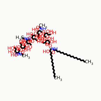 CCCCCCCCCCCCC/C=C/[C@@H](O)[C@H](CO[C@@H]1OC(CO)[C@@H](O[C@@H]2OC(CO)[C@H](O)[C@H](O[C@@H]3OC(CO)[C@@H](O[C@@H]4OC(CO)[C@H](O)[C@H](O[C@@H]5OC(CO)[C@@H](O[C@@H]6OC(CO)[C@H](O)[C@H](O[C@@H]7OC(CO)[C@@H](O)[C@H](O)C7NC(C)=O)C6O)[C@H](O)C5NC(C)=O)C4O)[C@H](O)C3NC(C)=O)C2O)[C@H](O)C1O)NC(=O)CCCCCCCCCCCCCCCCCCC